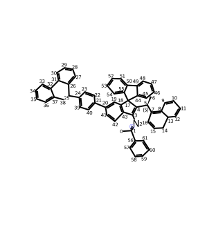 C/C(=N\C1=C([C@@H](C)C2=C3C=CC=CC3CC=C2)C2(c3cc(-c4ccc(Cc5ccccc5-c5ccccc5C)cc4)ccc31)c1ccccc1-c1ccccc12)c1ccccc1